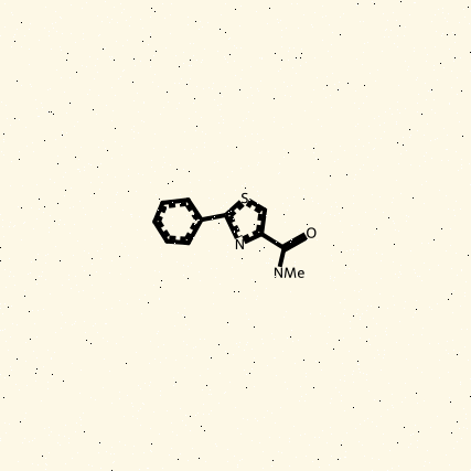 [CH2-][NH2+]C(=O)c1csc(-c2ccccc2)n1